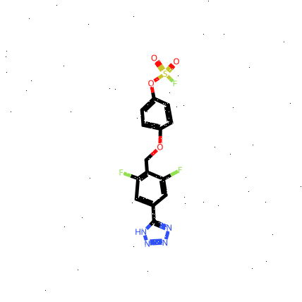 O=S(=O)(F)Oc1ccc(OCc2c(F)cc(-c3nnn[nH]3)cc2F)cc1